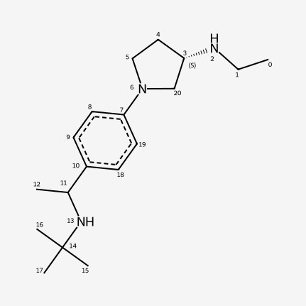 CCN[C@H]1CCN(c2ccc(C(C)NC(C)(C)C)cc2)C1